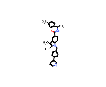 Cc1c(C)n(Cc2ccc(-c3cccnc3)cc2)c2ccc(C(=O)N[C@@H](C)c3ccc([N+](=O)[O-])cc3)cc12